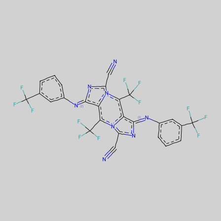 N#Cc1n/c(=N\c2cccc(C(F)(F)F)c2)c2c(C(F)(F)F)n3c(C#N)n/c(=N\c4cccc(C(F)(F)F)c4)c3c(C(F)(F)F)n12